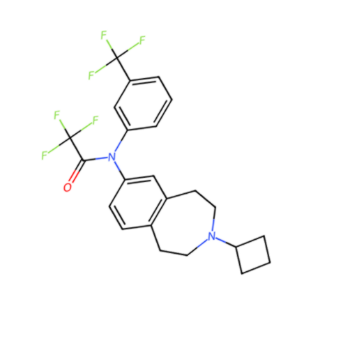 O=C(N(c1cccc(C(F)(F)F)c1)c1ccc2c(c1)CCN(C1CCC1)CC2)C(F)(F)F